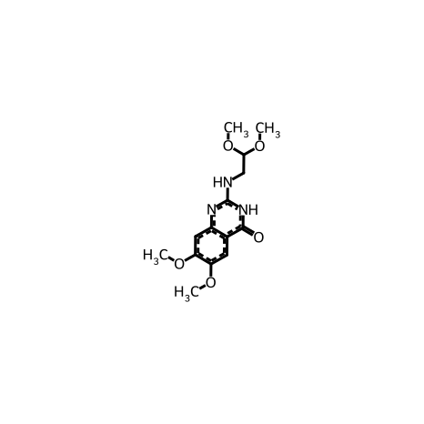 COc1cc2nc(NCC(OC)OC)[nH]c(=O)c2cc1OC